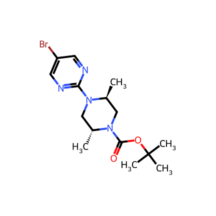 C[C@@H]1CN(c2ncc(Br)cn2)[C@@H](C)CN1C(=O)OC(C)(C)C